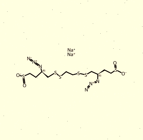 [N-]=[N+]=N[C@H](CCS(=O)[O-])CSSCCSSC[C@@H](CCS(=O)[O-])N=[N+]=[N-].[Na+].[Na+]